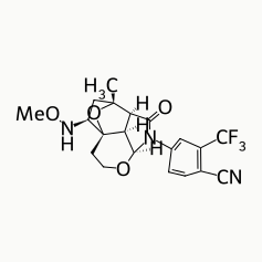 CON[C@H]1C[C@@]2(C)O[C@@]13CCO[C@H]1[C@@H]3[C@@H]2C(=O)N1c1ccc(C#N)c(C(F)(F)F)c1